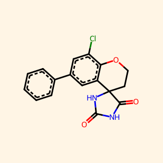 O=C1NC(=O)C2(CCOc3c(Cl)cc(-c4ccccc4)cc32)N1